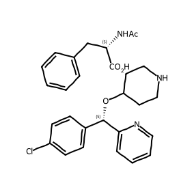 CC(=O)N[C@@H](Cc1ccccc1)C(=O)O.Clc1ccc([C@H](OC2CCNCC2)c2ccccn2)cc1